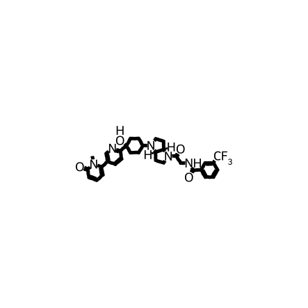 Cn1c(-c2ccc(C3(O)CCC(N4CC[C@H]5[C@@H]4CCN5C(=O)CNC(=O)c4cccc(C(F)(F)F)c4)CC3)nc2)cccc1=O